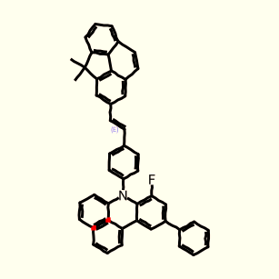 CC1(C)c2cccc3ccc4cc(/C=C/c5ccc(N(c6ccccc6)c6c(F)cc(-c7ccccc7)cc6-c6ccccc6)cc5)cc1c4c23